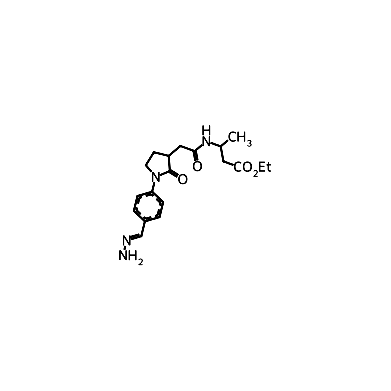 CCOC(=O)CC(C)NC(=O)CC1CCN(c2ccc(C=NN)cc2)C1=O